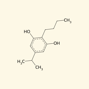 CCCCc1c(O)cc(C(C)C)cc1O